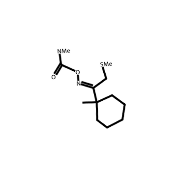 CNC(=O)ON=C(CSC)C1(C)CCCCC1